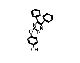 Cc1ccc(Oc2nnc(-c3ccccc3)c(-c3ccccc3)n2)cc1